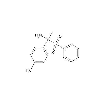 CC(N)(c1ccc(C(F)(F)F)cc1)S(=O)(=O)c1ccccc1